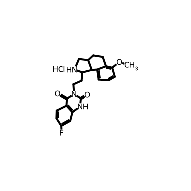 COc1cccc2c1CCC1CNC(CCn3c(=O)[nH]c4cc(F)ccc4c3=O)C21.Cl